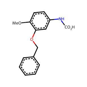 COc1ccc(NC(=O)O)cc1OCc1ccccc1